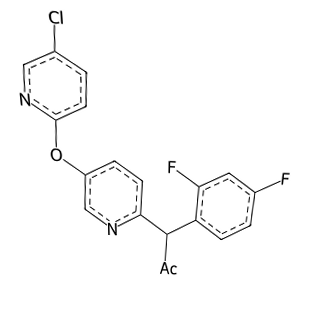 CC(=O)C(c1ccc(Oc2ccc(Cl)cn2)cn1)c1ccc(F)cc1F